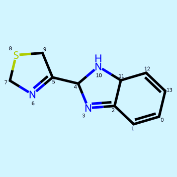 C1=CC2=NC(C3=NCSC3)NC2C=C1